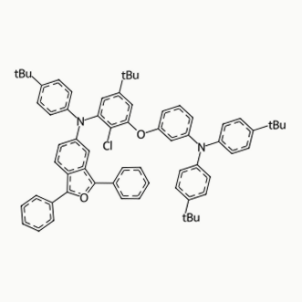 CC(C)(C)c1ccc(N(c2ccc(C(C)(C)C)cc2)c2cccc(Oc3cc(C(C)(C)C)cc(N(c4ccc(C(C)(C)C)cc4)c4ccc5c(-c6ccccc6)oc(-c6ccccc6)c5c4)c3Cl)c2)cc1